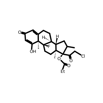 CCC(=O)O[C@]1(C(=O)CCl)C(C)C[C@H]2[C@@H]3CCC4=CC(=O)C=C(O)[C@]4(C)[C@@]3(F)CC[C@@]21C